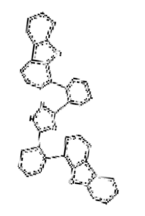 c1ccc(-c2cccc3c2oc2ccccc23)c(-c2nnc(-c3ccccc3-c3cccc4c3oc3ccccc34)o2)c1